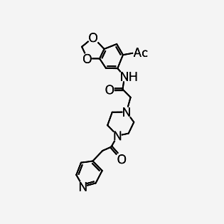 CC(=O)c1cc2c(cc1NC(=O)CN1CCN(C(=O)Cc3ccncc3)CC1)OCO2